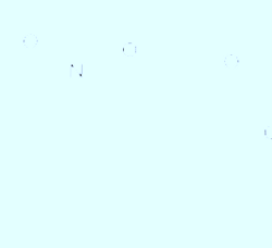 O=CC(C=O)c1ccccc1[N+](=O)[O-]